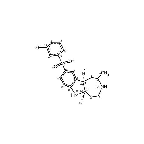 CC1C[C@@H]2c3cc(S(=O)(=O)c4cccc(F)c4)ccc3N[C@H]2CCN1